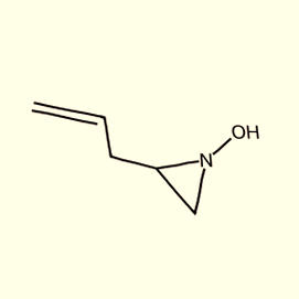 C=CCC1CN1O